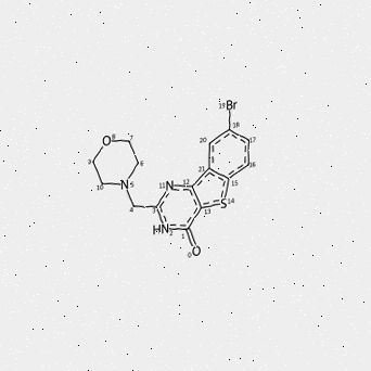 O=c1[nH]c(CN2CCOCC2)nc2c1sc1ccc(Br)cc12